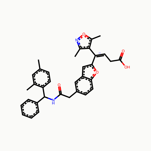 Cc1ccc(C(NC(=O)Cc2ccc3oc(/C(=C\CC(=O)O)c4c(C)noc4C)cc3c2)c2ccccc2)c(C)c1